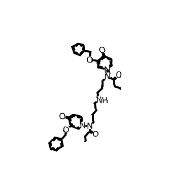 CCC(=O)N(CCCCNCCCN(C(=O)CC)n1ccc(=O)c(OCc2ccccc2)c1)n1ccc(=O)c(OCc2ccccc2)c1